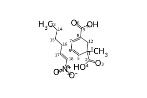 CC1(C(=O)O)C=CC=C(C(=O)O)C1.CCCCC=C[N+](=O)[O-]